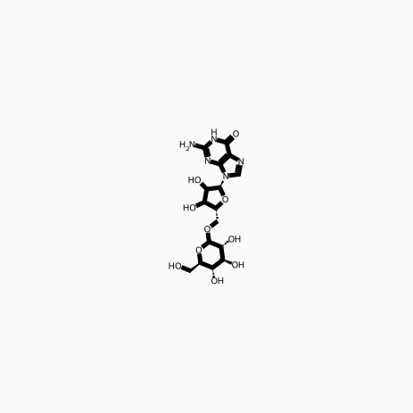 Nc1nc2c(ncn2[C@@H]2O[C@H](CO[C]3O[C@H](CO)[C@@H](O)[C@H](O)[C@H]3O)C(O)C2O)c(=O)[nH]1